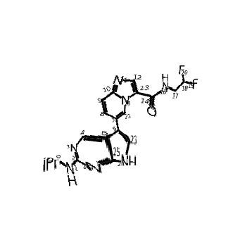 CC(C)Nc1ncc2c(-c3ccc4ncc(C(=O)NCC(F)F)n4c3)c[nH]c2n1